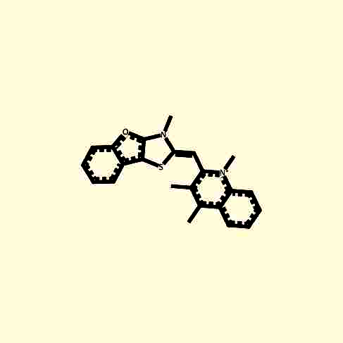 Cc1c(C)c2ccccc2[n+](C)c1C=C1Sc2c(oc3ccccc23)N1C